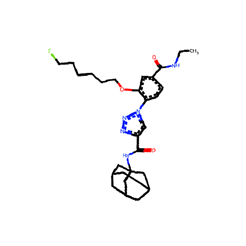 CCNC(=O)c1ccc(-n2cc(C(=O)NC34CC5CC(CC(C5)C3)C4)nn2)c(OCCCCCCF)c1